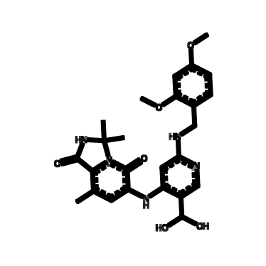 COc1ccc(CNc2cc(Nc3cc(C)c4n(c3=O)C(C)(C)NC4=O)c(C(O)O)cn2)c(OC)c1